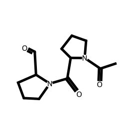 CC(=O)N1CCCC1C(=O)N1CCCC1C=O